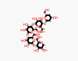 OC[C@@H]1C[C@H](O)C[C@@H](O[C@H]2[C@H](O)[C@@H](O)[C@@H](O[C@H]3[C@H](O)[C@@H](O)[C@@H](O[C@H]4[C@H](O)[C@@H](O)[C@@H](O[C@H]5[C@H](O)[C@@H](O)CO[C@@H]5CO)O[C@@H]4CO)O[C@@H]3CO)O[C@@H]2CO)O1